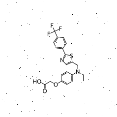 CCN(Cc1cnc(-c2ccc(C(F)(F)F)cc2)s1)c1ccc(OCC(=O)O)cc1